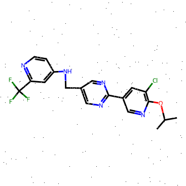 CC(C)Oc1ncc(-c2ncc(CNc3ccnc(C(F)(F)F)c3)cn2)cc1Cl